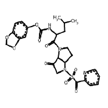 CC(C)CC(NC(=O)Oc1ccc2c(c1)OCO2)C(=O)N1CCC2C1C(=O)CN2S(=O)(=O)C(=O)c1ccccn1